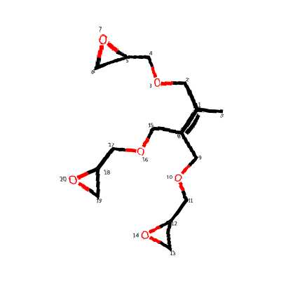 CC(COCC1CO1)=C(COCC1CO1)COCC1CO1